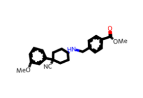 COC(=O)c1ccc(CNC2CCC(C#N)(c3cccc(OC)c3)CC2)cc1